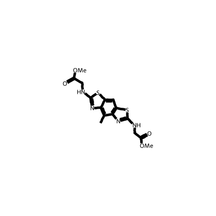 COC(=O)CNc1nc2c(C)c3nc(NCC(=O)OC)sc3cc2s1